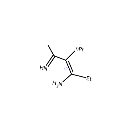 CCC/C(C(C)=N)=C(/N)CC